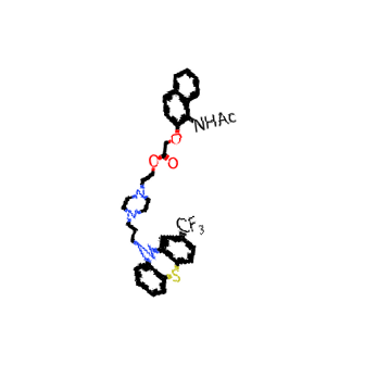 CC(=O)Nc1c(OCC(=O)OCCN2CCN(CCCN3c4ccccc4Sc4ccc(C(F)(F)F)cc43)CC2)ccc2ccccc12